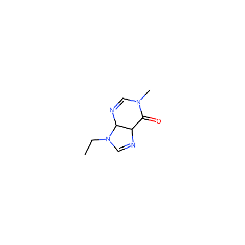 CCN1C=NC2C(=O)N(C)C=NC21